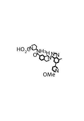 [3H]C1c2cc(C(=O)N[C@@H]3CCCN(C(=O)O)C3)ccc2CCN1c1ncnc2c(C)cc(-c3ccc(OC)nc3)cc12